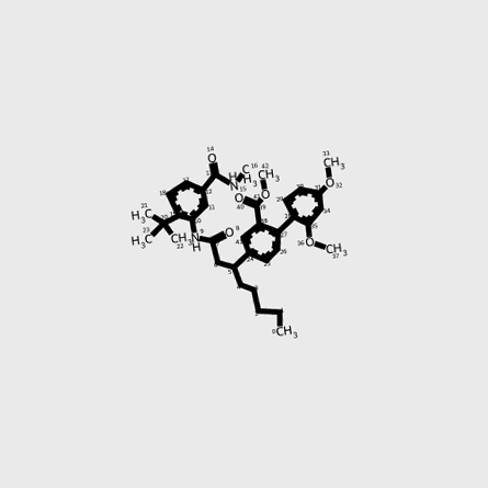 CCCCCC(CC(=O)Nc1cc(C(=O)NC)ccc1C(C)(C)C)c1ccc(-c2ccc(OC)cc2OC)c(C(=O)OC)c1